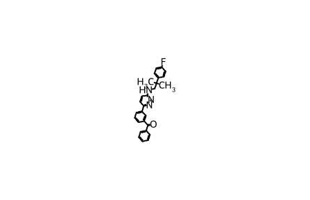 CC(C)(CNc1ccc(-c2cccc(C(=O)c3ccccc3)c2)nn1)c1ccc(F)cc1